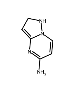 NC1=NC2=CCNN2C=C1